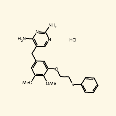 COc1cc(Cc2cnc(N)nc2N)cc(OCCSc2ccccc2)c1OC.Cl